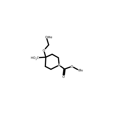 COCOC1(C(=O)O)CCN(C(=O)OC(C)(C)C)CC1